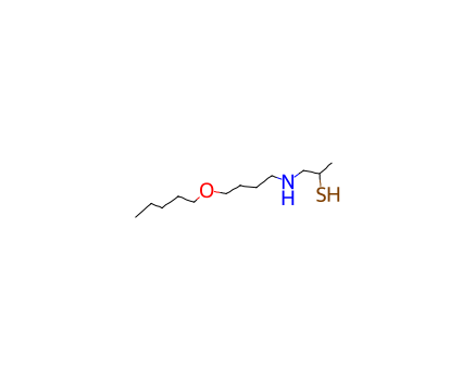 CCCCCOCCCCNCC(C)S